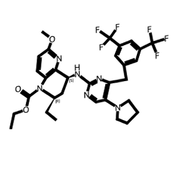 CCOC(=O)N1c2ccc(OC)nc2[C@@H](Nc2ncc(N3CCCC3)c(Cc3cc(C(F)(F)F)cc(C(F)(F)F)c3)n2)C[C@H]1CC